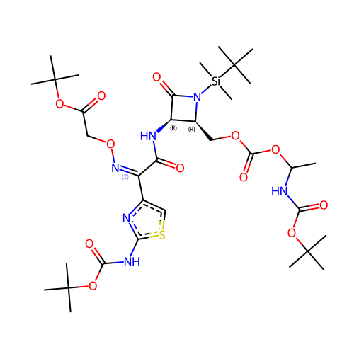 CC(NC(=O)OC(C)(C)C)OC(=O)OC[C@H]1[C@@H](NC(=O)/C(=N\OCC(=O)OC(C)(C)C)c2csc(NC(=O)OC(C)(C)C)n2)C(=O)N1[Si](C)(C)C(C)(C)C